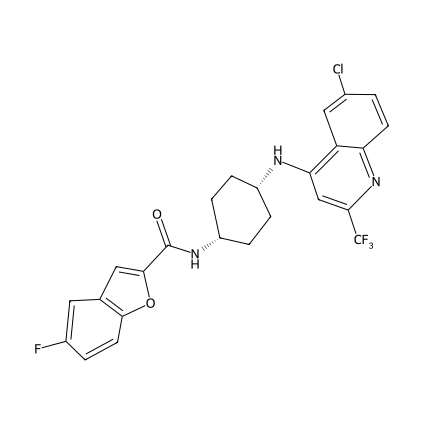 O=C(N[C@H]1CC[C@@H](Nc2cc(C(F)(F)F)nc3ccc(Cl)cc23)CC1)c1cc2cc(F)ccc2o1